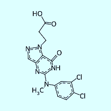 CN(c1ccc(Cl)c(Cl)c1)c1nc2cnn(CCC(=O)O)c2c(=O)[nH]1